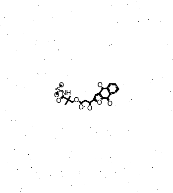 CC(C)(COC(=O)CC(=O)c1cc2c(o1)C(=O)c1ccccc1C2=O)C(=O)NS(C)(=O)=O